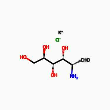 N[C@@H](C=O)[C@@H](O)[C@H](O)[C@H](O)CO.[Cl-].[K+]